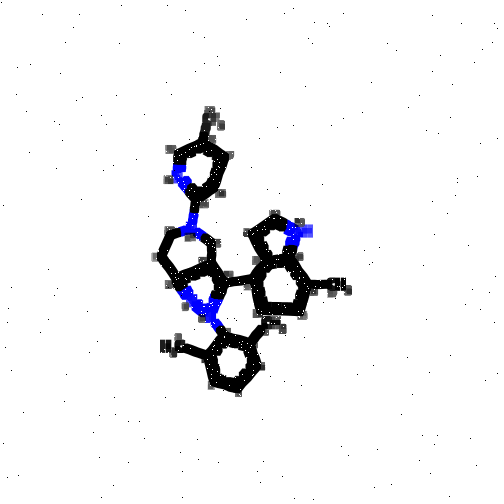 Cc1cccc(C)c1-n1nc2c(c1-c1ccc(C)c3[nH]ccc13)CN(c1ccc(C(F)(F)F)cn1)CC2